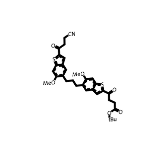 COc1cc2sc(C(=O)CCC#N)cc2cc1CCCc1cc2cc(C(=O)CCC(=O)OC(C)(C)C)sc2cc1OC